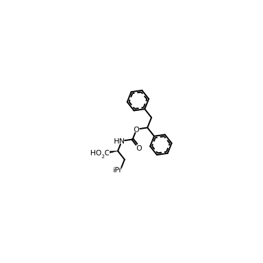 CC(C)C[C@H](NC(=O)OC(Cc1ccccc1)c1ccccc1)C(=O)O